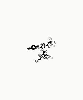 CCCS(=O)(=O)N[C@@H](C(=O)N[C@@H](CN(C)C(=O)OC(C)(C)C)C(=O)NCc1ccc(C#N)cc1)[C@H](C)CC